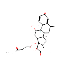 COC(=O)CCC(=O)O[C@]1(C(=O)CO)C(C)C[C@H]2[C@@H]3CC(C)C4=CC(=O)C=C[C@]4(C)[C@@]3(F)C(O)C[C@@]21C